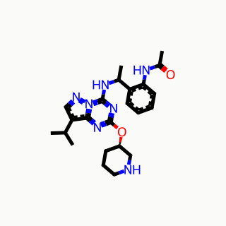 CC(=O)Nc1ccccc1C(C)Nc1nc(O[C@@H]2CCCNC2)nc2c(C(C)C)cnn12